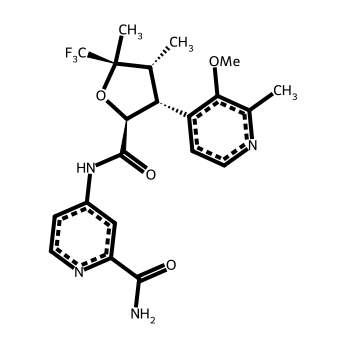 COc1c([C@@H]2[C@@H](C(=O)Nc3ccnc(C(N)=O)c3)O[C@@](C)(C(F)(F)F)[C@@H]2C)ccnc1C